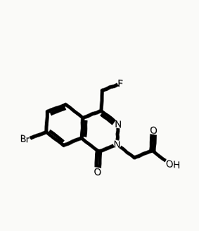 O=C(O)Cn1nc(CF)c2ccc(Br)cc2c1=O